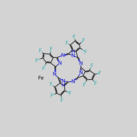 Fc1c(F)c(F)c2c(c1F)-c1nc-2nc2[nH]c(nc3nc(nc4[nH]c(n1)c1c(F)c(F)c(F)c(F)c41)-c1c(F)c(F)c(F)c(F)c1-3)c1c(F)c(F)c(F)c(F)c21.[Fe]